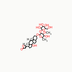 COC1C(O)C(C)OC(OC2CCC3(C)C(CCC4C3CCC3(C)C(C5=CC(=O)OC5)CCC43O)C2)C1OC1OC(CO)C(O)C(O)C1O